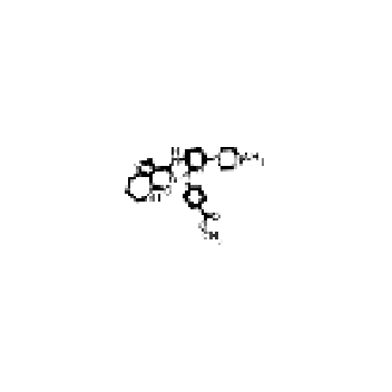 COC(=O)c1ccc(Oc2nc(N3CCN(C)CC3)ccc2NC(=O)c2coc3c2C(=O)NCCC3)cc1